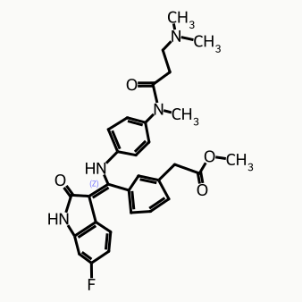 COC(=O)Cc1cccc(/C(Nc2ccc(N(C)C(=O)CCN(C)C)cc2)=C2/C(=O)Nc3cc(F)ccc32)c1